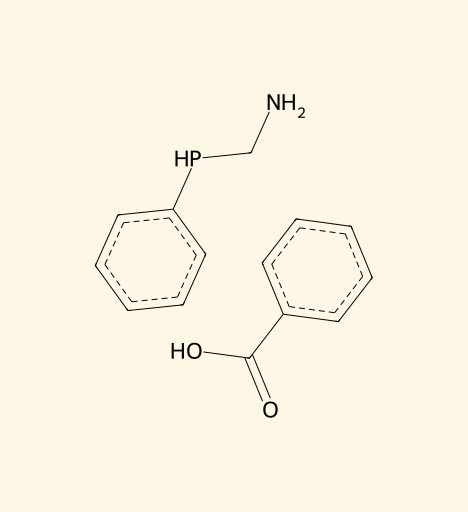 NCPc1ccccc1.O=C(O)c1ccccc1